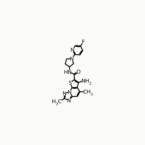 Cc1nc2cc(C)c3c(N)c(C(=O)NC4CCN(c5ccc(F)cn5)C4)sc3n2n1